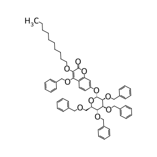 CCCCCCCCCCOc1c(OCc2ccccc2)c2ccc(O[C@H]3O[C@H](COCc4ccccc4)[C@@H](OCc4ccccc4)[C@H](OCc4ccccc4)[C@@H]3OCc3ccccc3)cc2oc1=O